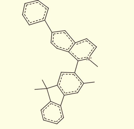 Cc1cc2c(cc1-c1c3ccc(-c4ccccc4)cc3cc[n+]1C)C(C)(C)c1ccccc1-2